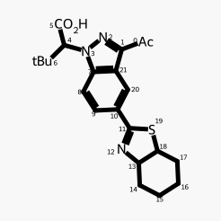 CC(=O)c1nn(C(C(=O)O)C(C)(C)C)c2ccc(C3=NC4CCCCC4S3)cc12